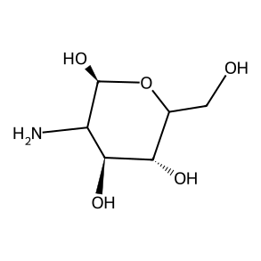 NC1[C@@H](O)OC(CO)[C@H](O)[C@H]1O